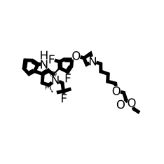 CCOC(=O)COCCCCCN1CC(Oc2cc(F)c([C@@H]3c4[nH]c5ccccc5c4C[C@@H](C)N3CC(C)(C)F)c(F)c2)C1